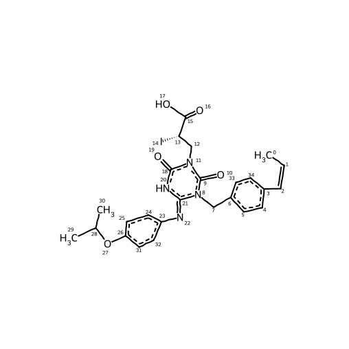 C/C=C\c1ccc(Cn2c(=O)n(C[C@H](I)C(=O)O)c(=O)[nH]/c2=N\c2ccc(OC(C)C)cc2)cc1